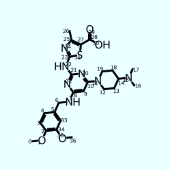 COc1ccc(CNc2cc(N3CCC(N(C)C)CC3)nc(Nc3nc(C)c(C(=O)O)s3)n2)cc1OC